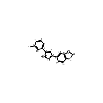 Ic1cccc(-c2cc(-c3ccc4c(c3)OCO4)n[nH]2)c1